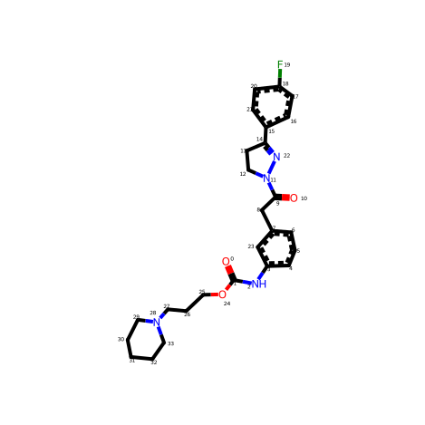 O=C(Nc1cccc(CC(=O)N2CCC(c3ccc(F)cc3)=N2)c1)OCCCN1CCCCC1